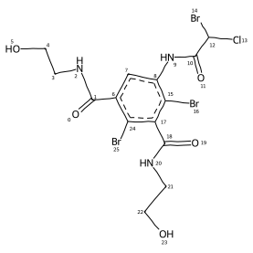 O=C(NCCO)c1cc(NC(=O)C(Cl)Br)c(Br)c(C(=O)NCCO)c1Br